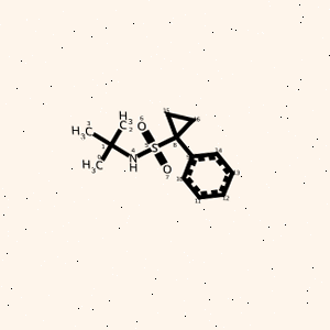 CC(C)(C)NS(=O)(=O)C1(c2ccccc2)CC1